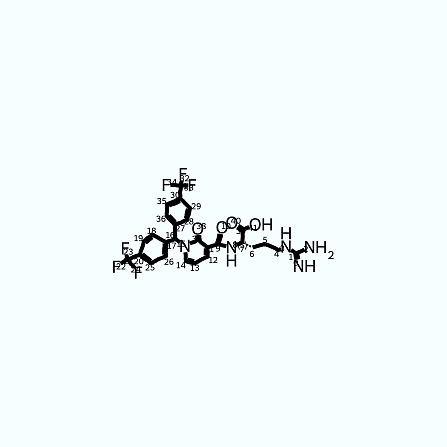 N=C(N)NCCC[C@H](NC(=O)c1cccn(C(c2ccc(C(F)(F)F)cc2)c2ccc(C(F)(F)F)cc2)c1=O)C(=O)O